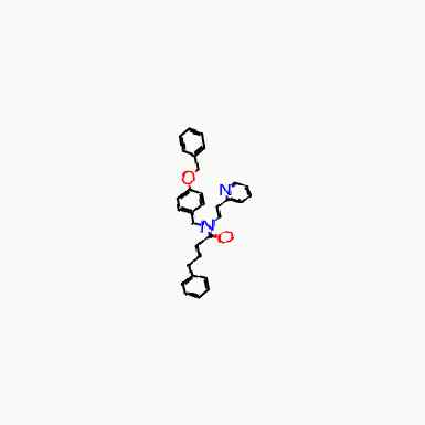 O=C(CCCc1ccccc1)N(CCc1ccccn1)Cc1ccc(OCc2ccccc2)cc1